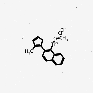 C[O][Ti+2][c]1c(C2=C(C)C=CC2)ccc2ccccc12.[Cl-].[Cl-]